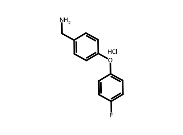 Cl.NCc1ccc(Oc2ccc(F)cc2)cc1